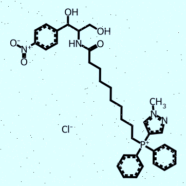 Cn1cc([P+](CCCCCCCCCC(=O)NC(CO)C(O)c2ccc([N+](=O)[O-])cc2)(c2ccccc2)c2ccccc2)cn1.[Cl-]